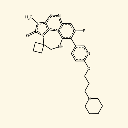 Cn1c(=O)n2c3c4c(c(-c5ccc(OCCCN6CCCCC6)nc5)c(F)cc4ncc31)NCC21CCC1